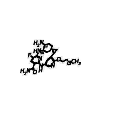 COCCOc1ncc(Nc2nc(N[C@@H]3CCCC[C@@H]3N)c(F)cc2C(N)=O)cc1C1CC1